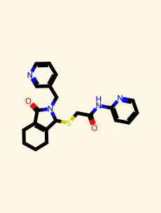 O=C(CSC1C2=C(CCCC2)C(=O)N1Cc1cccnc1)Nc1ccccn1